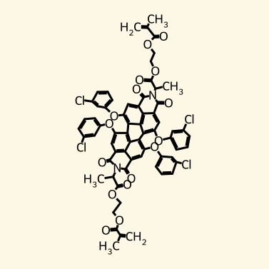 C=C(C)C(=O)OCCOC(=O)C(C)N1C(=O)c2cc(Oc3cccc(Cl)c3)c3c4c(Oc5cccc(Cl)c5)cc5c6c(cc(Oc7cccc(Cl)c7)c(c7c(Oc8cccc(Cl)c8)cc(c2c37)C1=O)c64)C(=O)N(C(C)C(=O)OCCOC(=O)C(=C)C)C5=O